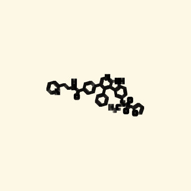 CN(c1ccc2[nH]c3ncc(-c4ccc(C(=O)NCCc5ccccn5)cc4)c(-c4ccccc4)c3c2c1)S(=O)(=O)c1ccco1